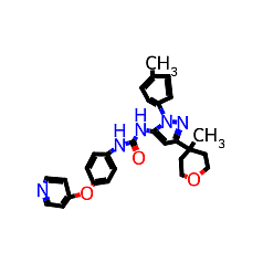 Cc1ccc(-n2nc(C3(C)CCOCC3)cc2NC(=O)Nc2ccc(Oc3ccncc3)cc2)cc1